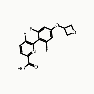 O=C(O)c1ccc(F)c(-c2c(F)cc(OC3COC3)cc2F)n1